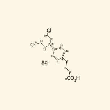 O=C(O)CCCc1ccc(N(CCCl)CCCl)cc1.[Ag]